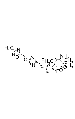 Cc1noc(COc2cnc(C(F)=Cc3ccc(F)c(C4(C)CS(=O)(=O)C(C)(C)C(N)=N4)c3)cn2)n1